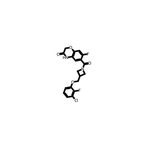 O=C1COc2cc(F)c(C(=O)N3CC(COc4cccc(Cl)c4F)C3)cc2N1